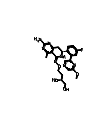 COc1cncc(-c2cc(F)ccc2[C@H]2Cc3nc(N)nc(C)c3/C(=N/OCC[C@H](O)CO)N2)n1